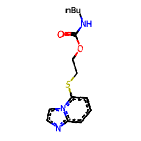 CCCCNC(=O)OCCSc1cccc2nccn12